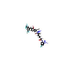 Nc1cc(F)ccc1NC(=O)CCCCCC(=O)Nc1ccc2c(c1)CC/C(=C\c1cc(C(F)(F)F)cc(C(F)(F)F)c1)C2=O